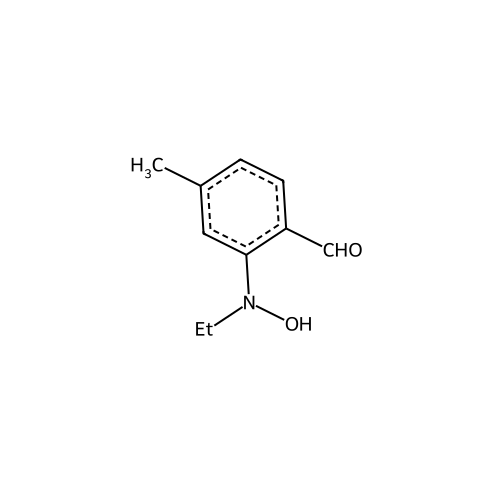 CCN(O)c1cc(C)ccc1C=O